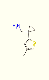 Cc1csc(C2(CN)CC2)c1